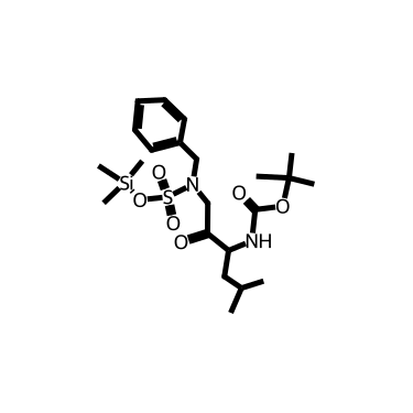 CC(C)CC(NC(=O)OC(C)(C)C)C(=O)CN(Cc1ccccc1)S(=O)(=O)O[Si](C)(C)C